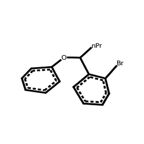 CCCC(Oc1ccccc1)c1ccccc1Br